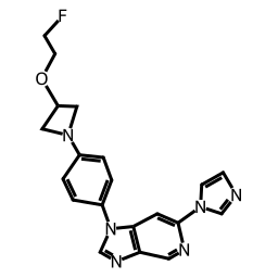 FCCOC1CN(c2ccc(-n3cnc4cnc(-n5ccnc5)cc43)cc2)C1